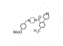 COc1ccc(CN2CCN(C(=O)c3cc(C)ccc3-c3ccncc3)CC2)cc1